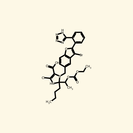 CCCCC1(C(C)OC(=O)OCC)NC(Cl)=C(C(=O)O)N1Cc1ccc2oc(-c3ccccc3-c3nnn[nH]3)c(Br)c2c1